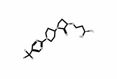 C[C@@H](O)CCO[C@@H]1CCN(C2CCN(c3ncc(C(F)(F)F)cn3)CC2)C1=O